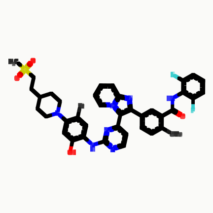 CCc1cc(Nc2nccc(-c3c(-c4ccc(OC)c(C(=O)Nc5c(F)cccc5F)c4)nc4ccccn34)n2)c(O)cc1N1CCC(CCS(C)(=O)=O)CC1